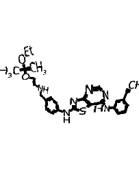 C#Cc1cccc(NC2=NC=NC3N=C(Nc4ccc(CNCCOC(C)(C)OCC)cc4)SC23)c1